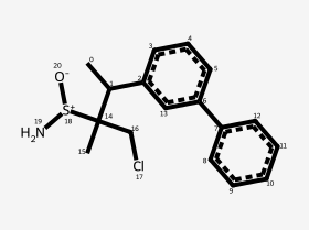 CC(c1cccc(-c2ccccc2)c1)C(C)(CCl)[S+](N)[O-]